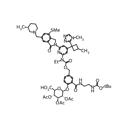 CCN(C(=O)OCc1ccc(O[C@@H]2O[C@H](C(=O)O)[C@@H](OC(C)=O)[C@H](OC(C)=O)[C@H]2OC(C)=O)c(C(=O)NCCNC(=O)OC(C)(C)C)c1)c1cc(C2(c3nncn3C)CC(C)C2)cc(N2Cc3c(SC)cc(CN4CCC[C@H](C)C4)cc3C2=O)n1